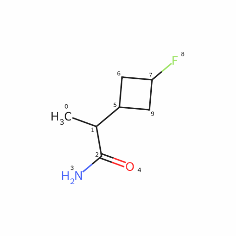 CC(C(N)=O)C1CC(F)C1